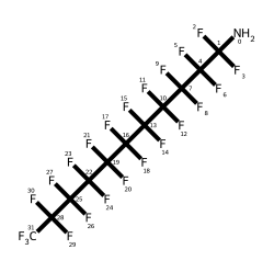 NC(F)(F)C(F)(F)C(F)(F)C(F)(F)C(F)(F)C(F)(F)C(F)(F)C(F)(F)C(F)(F)C(F)(F)C(F)(F)F